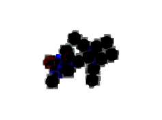 c1ccc(-c2ccc(N3c4ccc(-c5ccccc5)cc4B4c5cc(-c6ccccc6)ccc5N(c5ccc(-c6ccccc6)cc5)c5cc(-c6ccc7c(c6)c6ccccc6n7-c6cccc(-c7nc(-c8ccccc8)nc(-c8ccccc8)n7)c6-c6nc(-c7ccccc7)nc(-c7ccccc7)n6)cc3c54)cc2)cc1